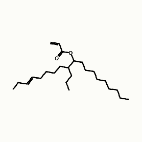 C=CC(=O)OC(CCCCCCCCC)C(CCC)CCCCC=CCC